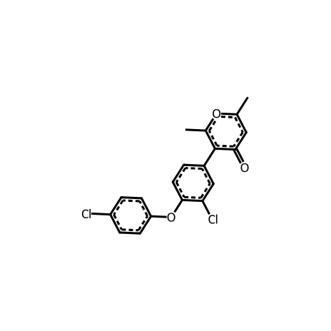 Cc1cc(=O)c(-c2ccc(Oc3ccc(Cl)cc3)c(Cl)c2)c(C)o1